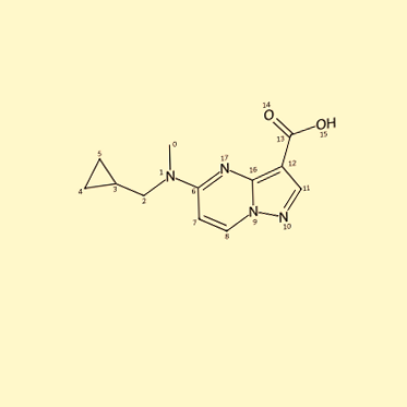 CN(CC1CC1)c1ccn2ncc(C(=O)O)c2n1